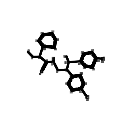 CCC(C(=O)NCC(c1ccc(Cl)cc1)C(C)c1ccc(Cl)cc1)c1ccccc1